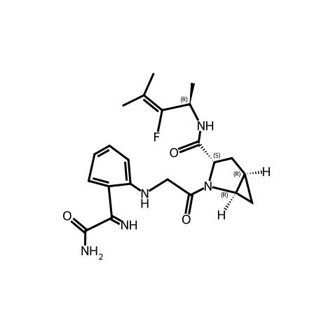 CC(C)=C(F)[C@@H](C)NC(=O)[C@@H]1C[C@H]2C[C@H]2N1C(=O)CNc1ccccc1C(=N)C(N)=O